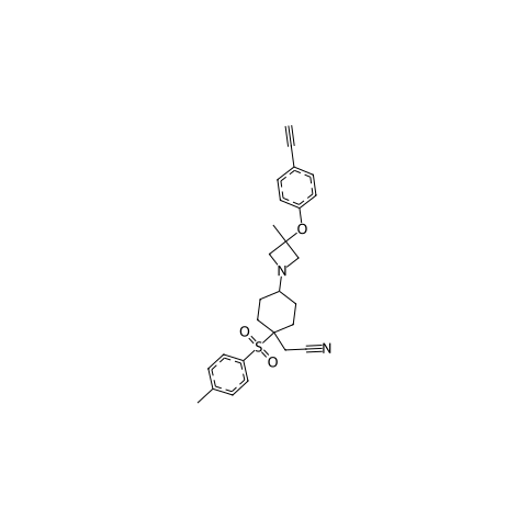 C#Cc1ccc(OC2(C)CN(C3CCC(CC#N)(S(=O)(=O)c4ccc(C)cc4)CC3)C2)cc1